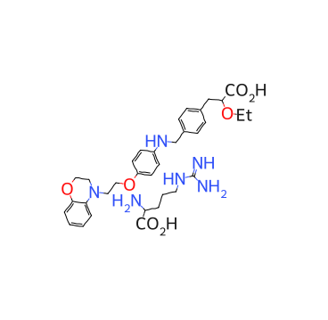 CCOC(Cc1ccc(CNc2ccc(OCCN3CCOc4ccccc43)cc2)cc1)C(=O)O.N=C(N)NCCCC(N)C(=O)O